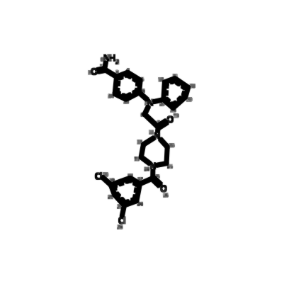 NC(=O)c1ccc(N(CC(=O)N2CCN(C(=O)c3cc(Cl)cc(Cl)c3)CC2)c2ccccc2)cc1